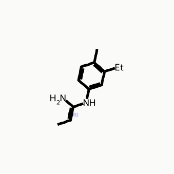 C/C=C(\N)Nc1ccc(C)c(CC)c1